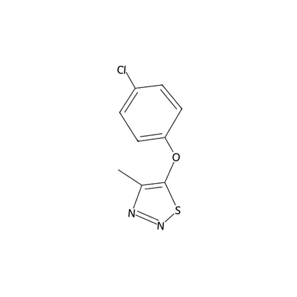 Cc1nnsc1Oc1ccc(Cl)cc1